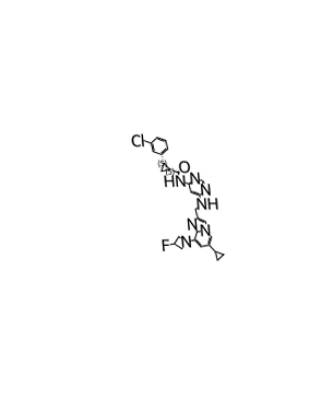 O=C(Nc1cc(NCc2cn3cc(C4CC4)cc(N4CC(F)C4)c3n2)ncn1)[C@H]1C[C@@H]1c1cccc(Cl)c1